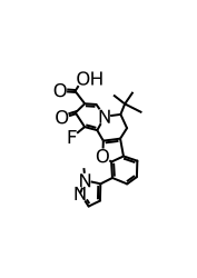 Cn1nccc1-c1cccc2c3c(oc12)-c1c(F)c(=O)c(C(=O)O)cn1C(C(C)(C)C)C3